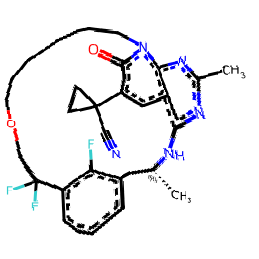 Cc1nc2c3cc(C4(C#N)CC4)c(=O)n(c3n1)CCCCCCOCC(F)(F)c1cccc(c1F)[C@@H](C)N2